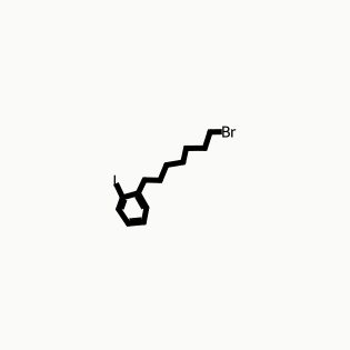 BrCCCCCCCc1ccccc1I